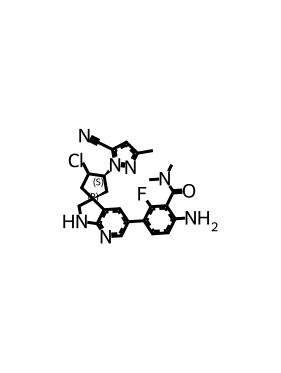 Cc1cc(C#N)n([C@H]2C[C@@]3(CNc4ncc(-c5ccc(N)c(C(=O)N(C)C)c5F)cc43)CC2Cl)n1